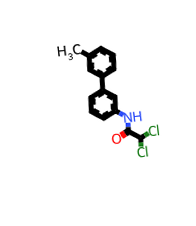 Cc1cccc(-c2cccc(NC(=O)C(Cl)Cl)c2)c1